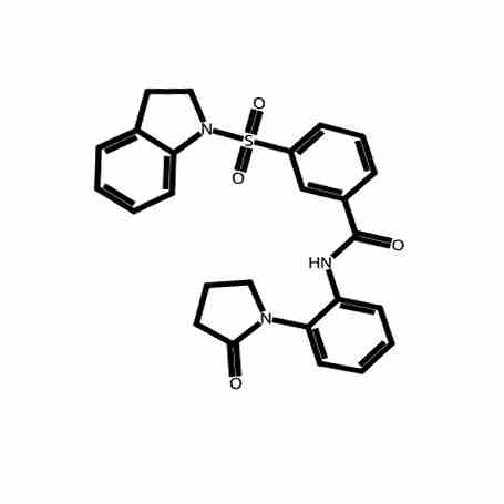 O=C(Nc1ccccc1N1CCCC1=O)c1cccc(S(=O)(=O)N2CCc3ccccc32)c1